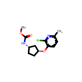 Cc1ccc(O[C@H]2CC[C@H](NC(=O)OC(C)(C)C)C2)c(Br)n1